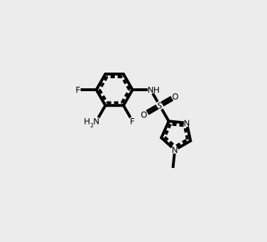 Cn1cnc(S(=O)(=O)Nc2ccc(F)c(N)c2F)c1